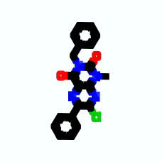 Cn1c(=O)n(Cc2ccccc2)c(=O)c2nc(-c3ccccc3)c(Cl)nc21